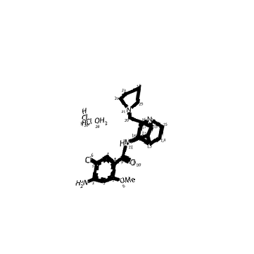 COc1cc(N)c(Cl)cc1C(=O)NC1C2CCN(CC2)C1CN1CCCC1.Cl.Cl.O